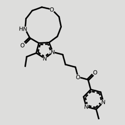 CCc1nn(CCCOC(=O)c2cnc(C)nc2)c2c1C(=O)NCCCOCCC2